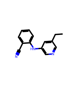 CCc1cncc(Nc2ccccc2C#N)c1